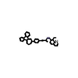 C=C(C#Cc1ccc(C2=CCC=c3c(c4ccccc4c4ccccc34)=C2)cc1)/C=C\c1ccc2cccnc2c1CC